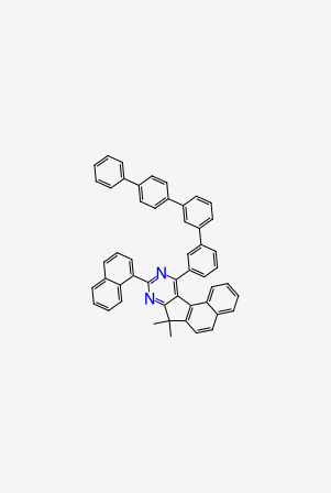 CC1(C)c2ccc3ccccc3c2-c2c(-c3cccc(-c4cccc(-c5ccc(-c6ccccc6)cc5)c4)c3)nc(-c3cccc4ccccc34)nc21